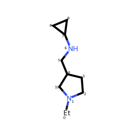 CCN1CCC(CNC2CC2)C1